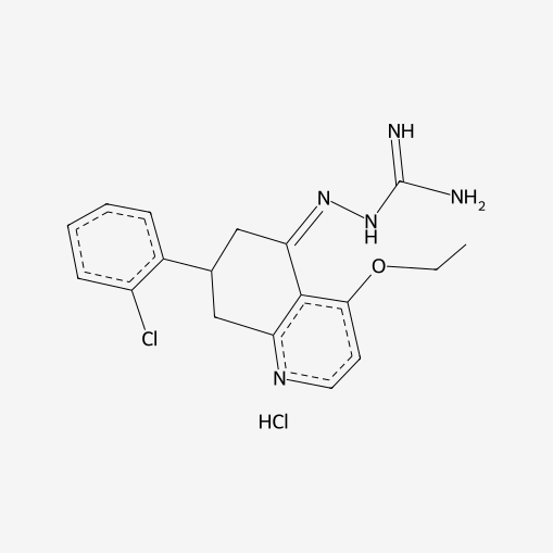 CCOc1ccnc2c1/C(=N\NC(=N)N)CC(c1ccccc1Cl)C2.Cl